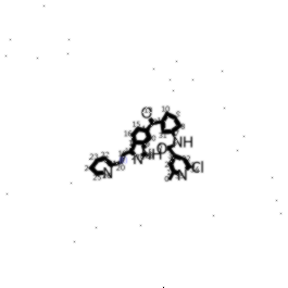 Cc1cc(C(=O)Nc2cccc(C(=O)c3ccc4c(/C=C/c5ccccn5)n[nH]c4c3)c2)cc(Cl)n1